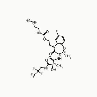 C[C@H]1Oc2ccc(F)cc2N(CCOC(=O)NCCNS)C(=O)[C@H]1NC(=O)[C@@](C)(O)C(=O)NCC(F)(F)C(F)(F)F